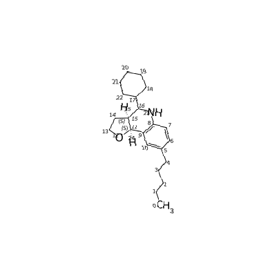 CCCCCc1ccc2c(c1)[C@H]1OCC[C@H]1C(C1CCCCC1)N2